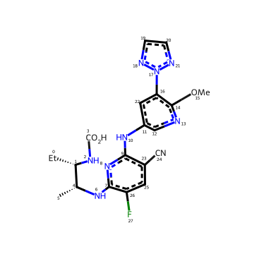 CC[C@H](NC(=O)O)[C@@H](C)Nc1nc(Nc2cnc(OC)c(-n3nccn3)c2)c(C#N)cc1F